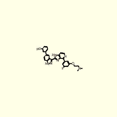 CN(C)CCOc1cc(F)cc(-c2nccc3[nH]c(-c4n[nH]c5ccc(-c6cccc(O)c6)cc45)nc23)c1